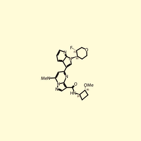 CNc1cc(-c2cn([C@@H]3CCOC[C@H]3F)c3ncccc23)nc2c(C(=O)N[C@@H]3CC[C@H]3OC)cnn12